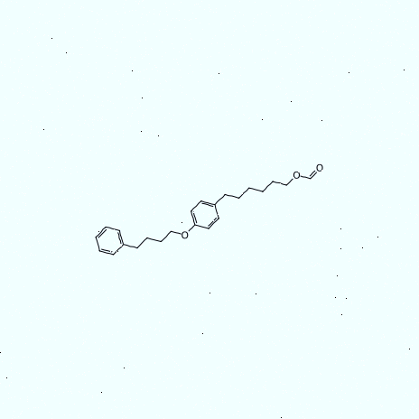 O=COCCCCCCc1ccc(OCCCCc2ccccc2)cc1